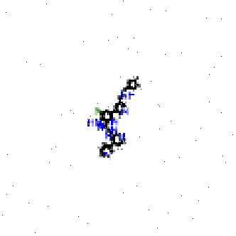 Fc1cc(-c2cncc(CNCC3CCCC3)c2)cc2c(-c3nc4c(-c5cccnc5)ccnc4[nH]3)n[nH]c12